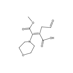 COC(=O)C(=C(CC=O)C(=O)O)N1CCOCC1